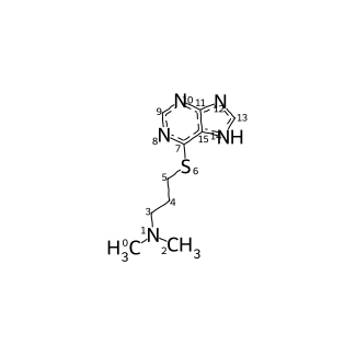 CN(C)CCCSc1ncnc2nc[nH]c12